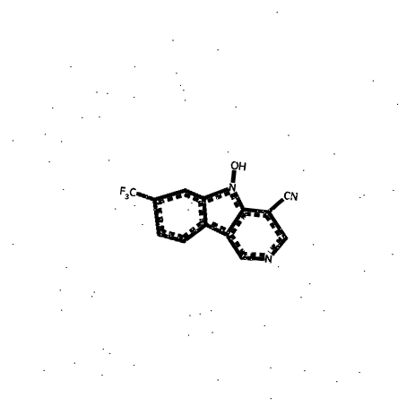 N#Cc1cncc2c3ccc(C(F)(F)F)cc3n(O)c12